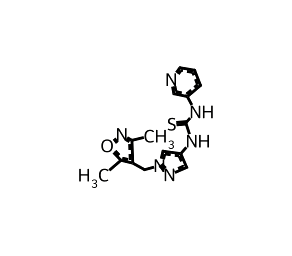 Cc1noc(C)c1Cn1cc(NC(=S)Nc2cccnc2)cn1